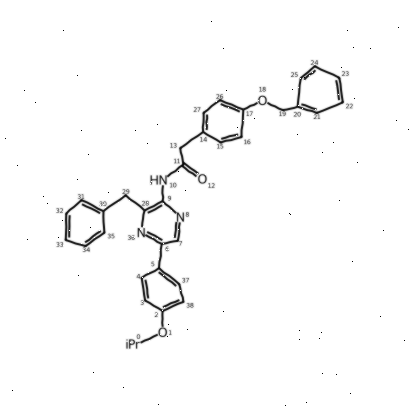 CC(C)Oc1ccc(-c2cnc(NC(=O)Cc3ccc(OCc4ccccc4)cc3)c(Cc3ccccc3)n2)cc1